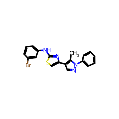 Cc1c(-c2csc(Nc3cccc(Br)c3)n2)cnn1-c1ccccc1